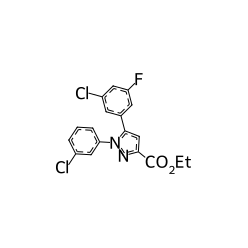 CCOC(=O)c1cc(-c2cc(F)cc(Cl)c2)n(-c2cccc(Cl)c2)n1